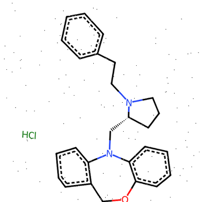 Cl.c1ccc(CCN2CCC[C@@H]2CN2c3ccccc3COc3ccccc32)cc1